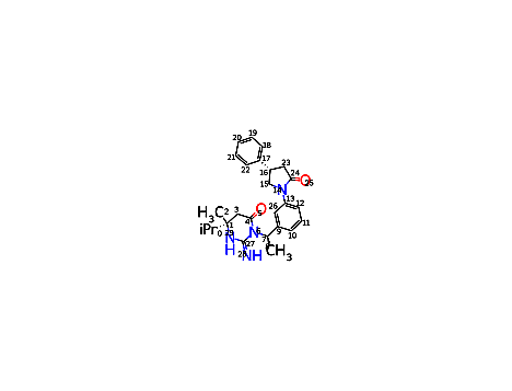 CC(C)[C@]1(C)CC(=O)N([C@H](C)c2cccc(N3C[C@H](c4ccccc4)CC3=O)c2)C(=N)N1